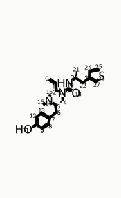 C=CCN(C[C@H](Cc1ccc(O)cc1)N(C)C)C(=O)N[C@@H](C)Cc1ccsc1